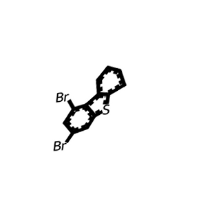 Brc1cc(Br)c2c(c1)sc1ccccc12